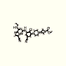 CCNc1nc(Nc2cc(C#N)cc(N3CCN(C4CN(C(=O)OC)C4)CC3)c2Cl)nn2c(C#N)cnc12